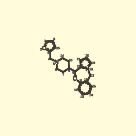 c1coc(CN2CCC(C3Oc4ccccc4Cn4cccc43)CC2)c1